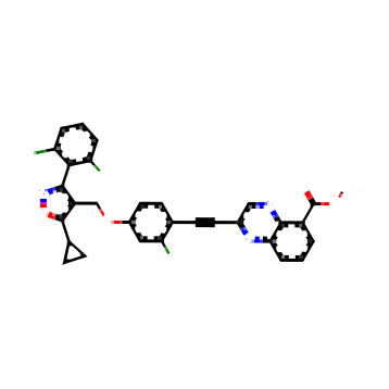 COC(=O)c1cccc2nc(C#Cc3ccc(OCc4c(-c5c(Cl)cccc5Cl)noc4C4CC4)cc3Cl)cnc12